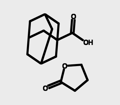 O=C(O)C12CC3CC(CC(C3)C1)C2.O=C1CCCO1